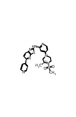 C[C@H]1CN(c2ccnc(Nc3nc4ccc(-c5ccncc5)nc4s3)c2)CCN1S(C)(=O)=O